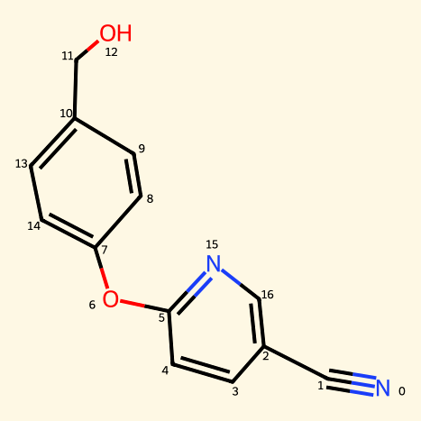 N#Cc1ccc(Oc2ccc(CO)cc2)nc1